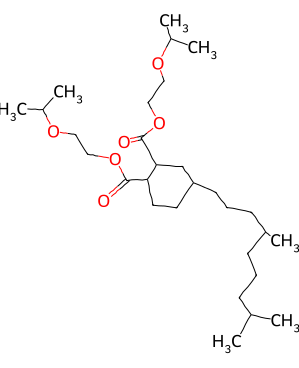 CC(C)CCCC(C)CCCC1CCC(C(=O)OCCOC(C)C)C(C(=O)OCCOC(C)C)C1